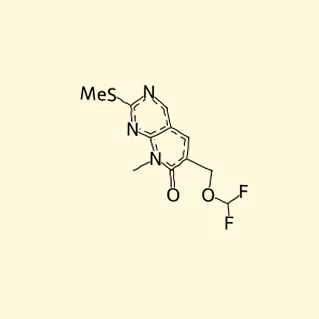 CSc1ncc2cc(COC(F)F)c(=O)n(C)c2n1